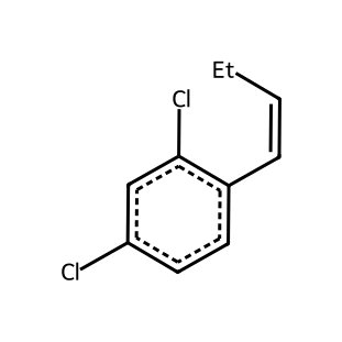 CC/C=C\c1ccc(Cl)cc1Cl